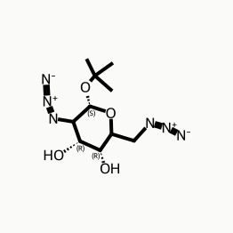 CC(C)(C)O[C@@H]1OC(CN=[N+]=[N-])[C@H](O)[C@H](O)C1N=[N+]=[N-]